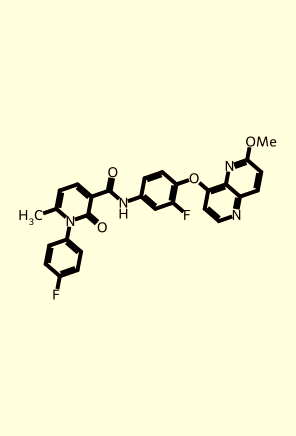 COc1ccc2nccc(Oc3ccc(NC(=O)c4ccc(C)n(-c5ccc(F)cc5)c4=O)cc3F)c2n1